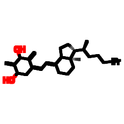 C=C1/C(=C\C=C2CCC[C@@]3(C)C2CC[C@@H]3[C@@H](C)CCCC(C)C)C[C@@H](O)C(=C)[C@H]1O